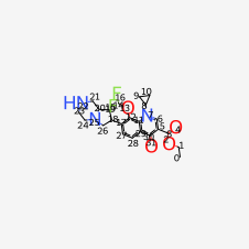 CCOC(=O)c1cn(C2CC2)c2c(OC(F)F)c(C3CC4CNCCN4C3)ccc2c1=O